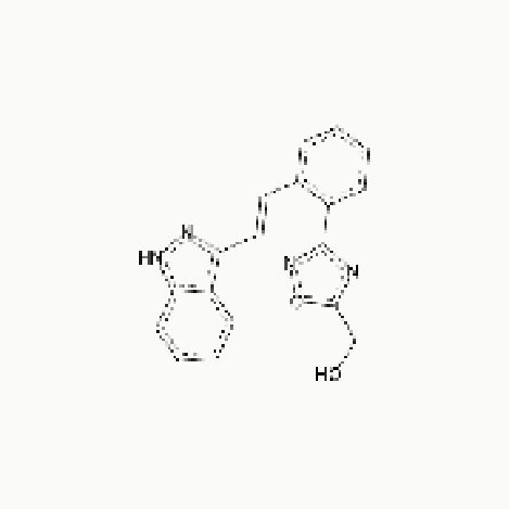 OCc1nc(-c2ccccc2C=Cc2n[nH]c3ccccc23)no1